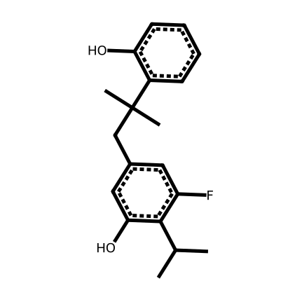 CC(C)c1c(O)cc(CC(C)(C)c2ccccc2O)cc1F